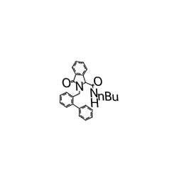 CCCCNC(=O)C1c2ccccc2C(=O)N1Cc1ccccc1-c1ccccc1